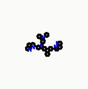 c1ccc(-n2c3ccccc3c3cc(-n4c5cc(-c6ccc7ccc8cccnc8c7n6)ccc5c5cc6c7ccccc7c7cc(-c8ccc9ccc%10cccnc%10c9n8)ccc7c6cc54)ccc32)cc1